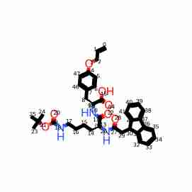 C=CCOc1ccc(C[C@H](NC(=O)[C@H](CCCCNC(=O)OC(C)(C)C)NC(=O)CC2c3ccccc3-c3ccccc32)C(=O)O)cc1